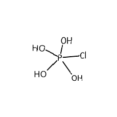 OP(O)(O)(O)Cl